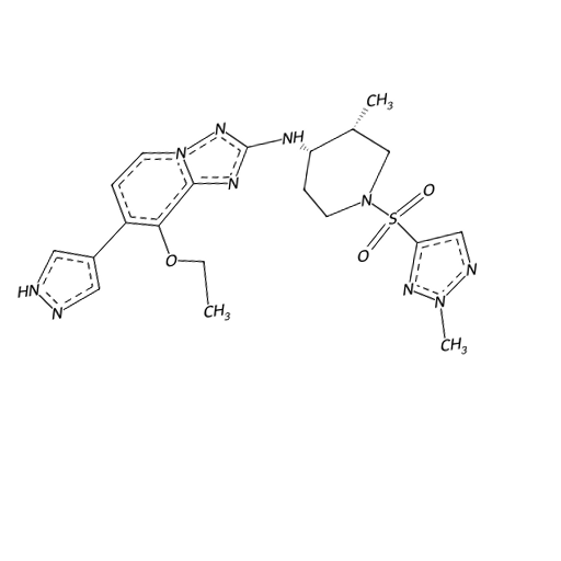 CCOc1c(-c2cn[nH]c2)ccn2nc(N[C@H]3CCN(S(=O)(=O)c4cnn(C)n4)C[C@H]3C)nc12